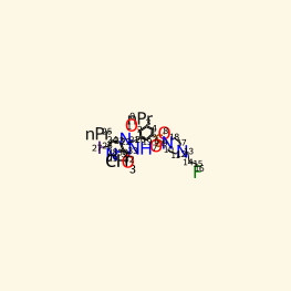 CCCOc1ccc(S(=O)(=O)N2CCN(CCCF)CC2)cc1-c1nc2c(CCC)c(I)n(C)c2c(=O)[nH]1